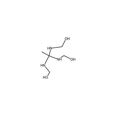 CC(NCO)(NCO)NCO